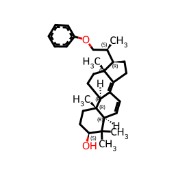 C[C@H](COc1ccccc1)[C@H]1CCC2=C3C=C[C@H]4C(C)(C)[C@@H](O)CC[C@]4(C)[C@H]3CC[C@@]21C